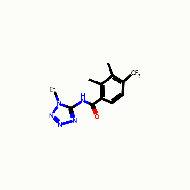 CCn1nnnc1NC(=O)c1ccc(C(F)(F)F)c(C)c1C